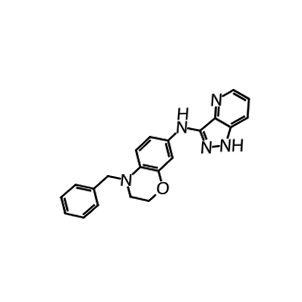 c1ccc(CN2CCOc3cc(Nc4n[nH]c5cccnc45)ccc32)cc1